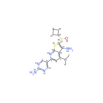 CC(C)c1cc(-c2cnc(N)nc2)nc2sc([S@+]([O-])C3CCC3)c(N)c12